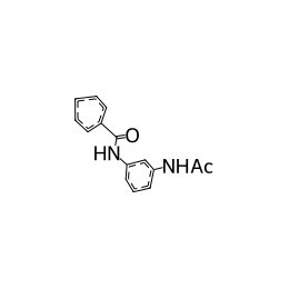 CC(=O)Nc1cccc(NC(=O)c2ccccc2)c1